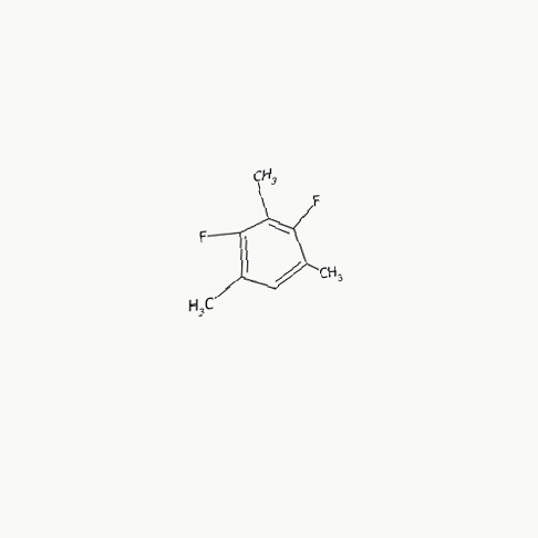 Cc1cc(C)c(F)c(C)c1F